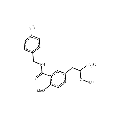 CCOC(=O)C(Cc1ccc(OC)c(C(=O)NCc2ccc(C(F)(F)F)cc2)c1)OC(C)(C)C